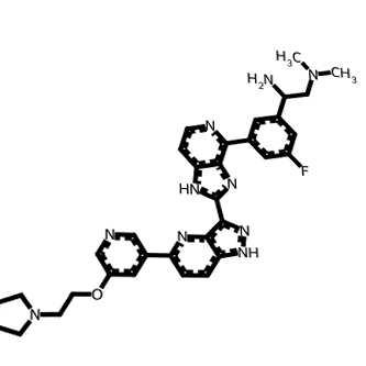 CN(C)CC(N)c1cc(F)cc(-c2nccc3[nH]c(-c4n[nH]c5ccc(-c6cncc(OCCN7CCCC7)c6)nc45)nc23)c1